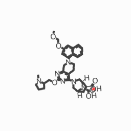 COCOc1cc(N2CCc3c(nc(OCC4CCCN4C)nc3N3C[C@@H]4C[C@H](C(=O)O)[C@H](C3)N4C(=O)O)C2)c2ccccc2c1